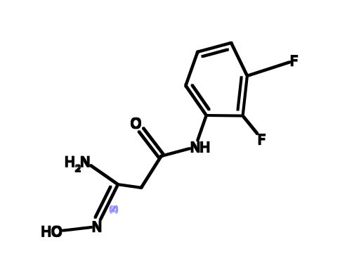 N/C(CC(=O)Nc1cccc(F)c1F)=N\O